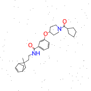 CC1(CCNC(=O)c2cccc(OC3CCN(C(=O)C4CCCC4)CC3)c2)CC2C=CC1C2